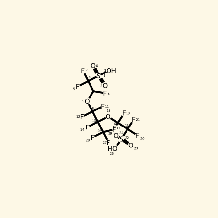 O=S(=O)(O)C(F)(F)C(F)OC(F)(F)C(F)(OC(F)(F)C(F)(F)S(=O)(=O)O)C(F)(F)F